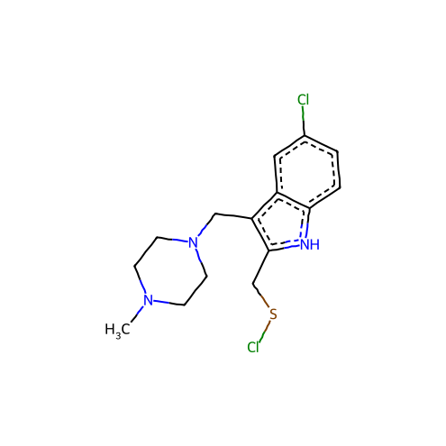 CN1CCN(Cc2c(CSCl)[nH]c3ccc(Cl)cc23)CC1